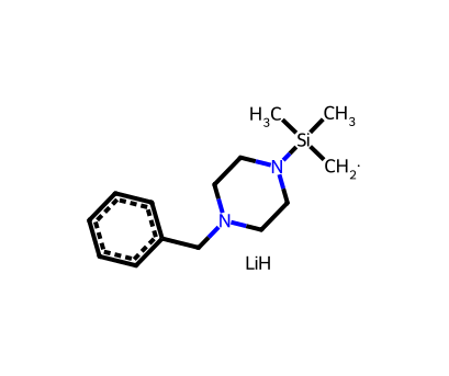 [CH2][Si](C)(C)N1CCN(Cc2ccccc2)CC1.[LiH]